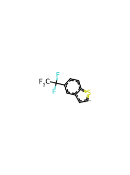 FC(F)(F)C(F)(F)c1ccc2s[c]cc2c1